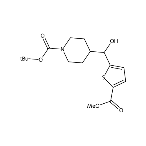 COC(=O)c1ccc(C(O)C2CCN(C(=O)OC(C)(C)C)CC2)s1